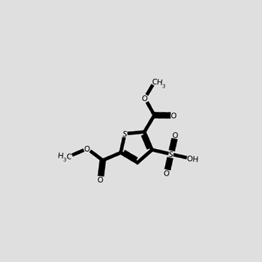 COC(=O)c1cc(S(=O)(=O)O)c(C(=O)OC)s1